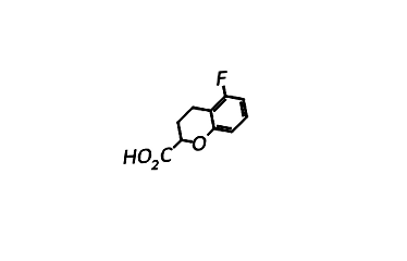 O=C(O)C1CCc2c(F)cccc2O1